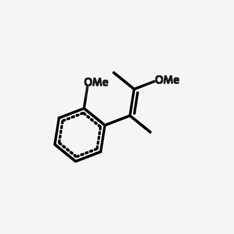 COC(C)=C(C)c1ccccc1OC